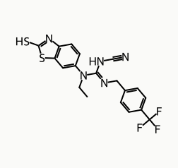 CCN(/C(=N/Cc1ccc(C(F)(F)F)cc1)NC#N)c1ccc2nc(S)sc2c1